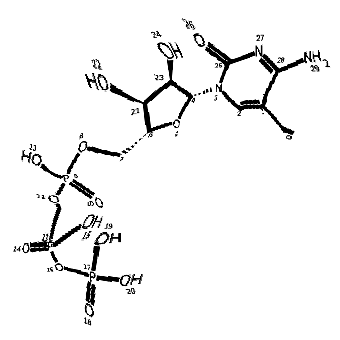 Cc1cn([C@@H]2O[C@H](COP(=O)(O)OP(=O)(O)OP(=O)(O)O)[C@@H](O)[C@H]2O)c(=O)nc1N